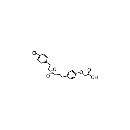 O=C(O)COc1ccc(CCCS(=O)(=O)CCc2ccc(Cl)cc2)cc1